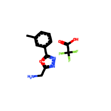 Cc1cccc(-c2nnc(CN)o2)c1.O=C(O)C(F)(F)F